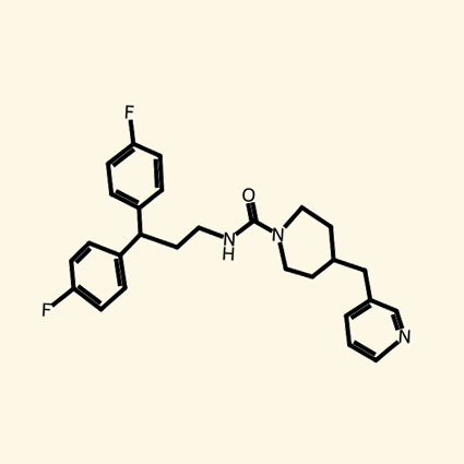 O=C(NCCC(c1ccc(F)cc1)c1ccc(F)cc1)N1CCC(Cc2cccnc2)CC1